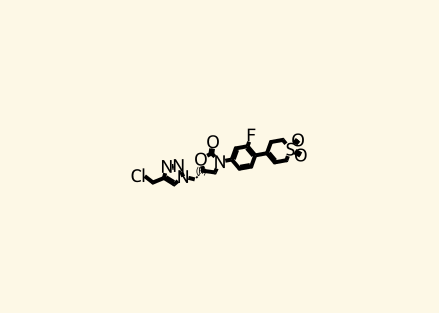 O=C1O[C@@H](Cn2cc(CCl)nn2)CN1c1ccc(C2=CCS(=O)(=O)CC2)c(F)c1